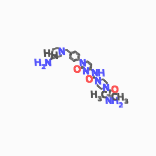 CC(C)(N)C(=O)N1CCN(C(=O)Nc2ccn(-c3ccc(CN4CC[C@H]5[C@H](N)[C@H]5C4)cc3)c(=O)n2)CC1